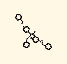 Cc1c(-c2ccc(OCc3ccccc3)cc2)n(Cc2ccccc2)c2ccc(OCc3ccccc3)cc12